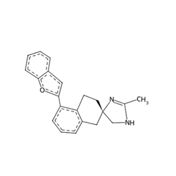 CC1=N[C@]2(CCc3c(cccc3-c3cc4ccccc4o3)C2)CN1